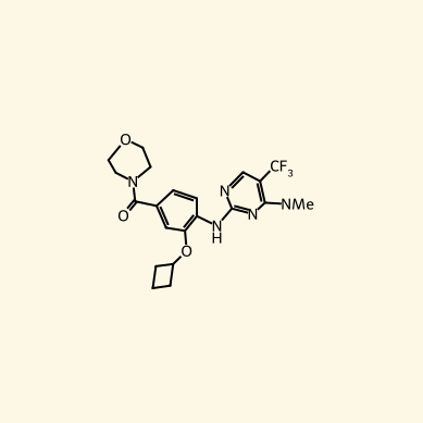 CNc1nc(Nc2ccc(C(=O)N3CCOCC3)cc2OC2CCC2)ncc1C(F)(F)F